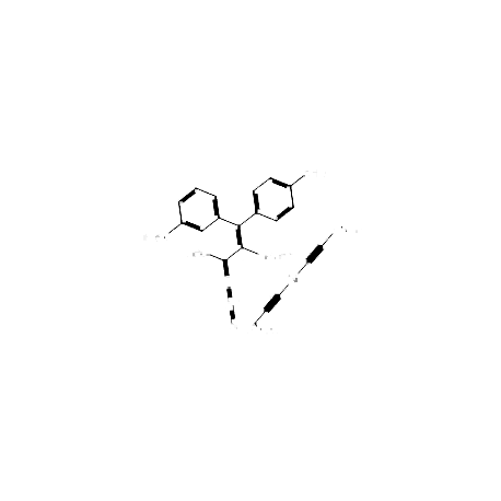 CCCCCCCCCC#[C][Ni][C]#CCCCCCCCCC.CCCCCCc1cccc(C(=C(CCCCC)C(=C=[N+]=[N-])CCCC)c2ccc(CCCC)cc2)c1